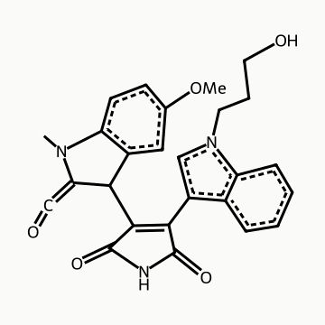 COc1ccc2c(c1)C(C1=C(c3cn(CCCO)c4ccccc34)C(=O)NC1=O)C(=C=O)N2C